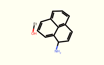 CCO.NC1C=Cc2cccc3cccc1c23